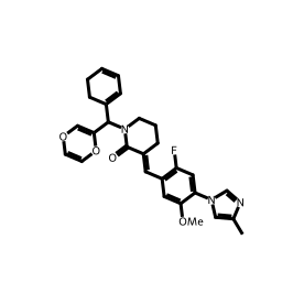 COc1cc(/C=C2\CCCN(C(C3=CC=CCC3)C3=COC=CO3)C2=O)c(F)cc1-n1cnc(C)c1